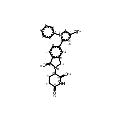 CC(C)c1cn(-c2ccccc2)c(-c2ccc3c(c2)CN(C2CCC(=O)NC2=O)C3=O)n1